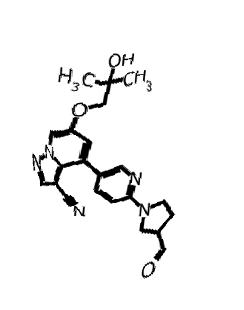 CC(C)(O)COc1cc(-c2ccc(N3CCC(C=O)C3)nc2)c2c(C#N)cnn2c1